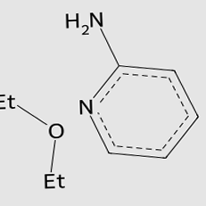 CCOCC.Nc1ccccn1